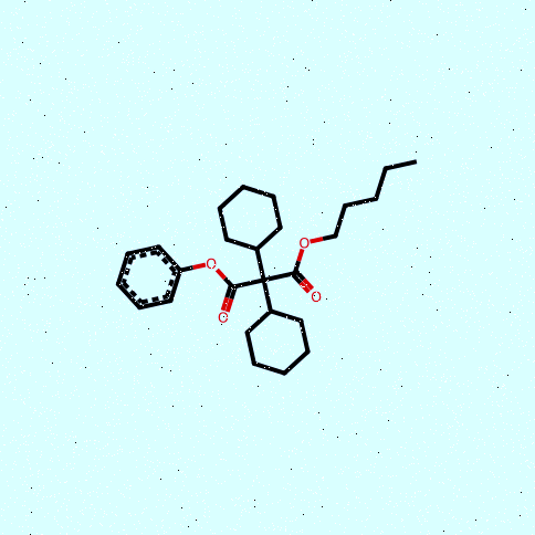 CCCCCOC(=O)C(C(=O)Oc1ccccc1)(C1CCCCC1)C1CCCCC1